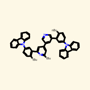 CCCCc1ccc(-n2c3ccccc3c3ccccc32)cc1-c1cncc(-c2cc(-c3cc(-n4c5ccccc5c5ccccc54)ccc3C(C)(C)C)nc(C(C)(C)C)c2)c1